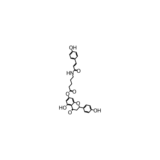 O=C(/C=C/c1ccc(O)cc1)NCCCCC(=O)Oc1cc(O)c2c(c1)OC(c1ccc(O)cc1)CC2=O